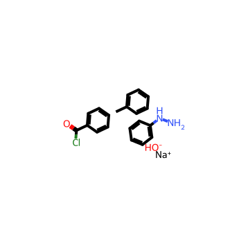 Cc1ccccc1.NNc1ccccc1.O=C(Cl)c1ccccc1.[Na+].[OH-]